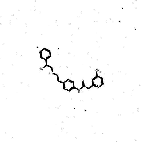 Cc1ccnc(CC(=O)Nc2ccc(CCNCC(O)c3ccccc3)cc2)c1